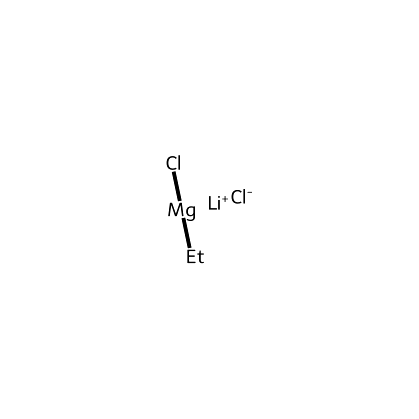 C[CH2][Mg][Cl].[Cl-].[Li+]